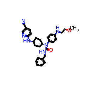 COCCNc1ccc(N(C(=O)NCc2ccccc2)[C@H]2CC[C@H](Nc3ccc(C#N)cn3)CC2)cc1